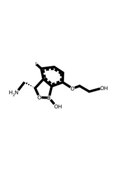 NC[C@H]1OB(O)c2c(OCCO)ccc(I)c21